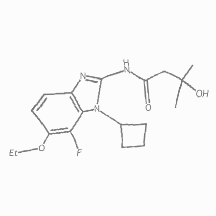 CCOc1ccc2nc(NC(=O)CC(C)(C)O)n(C3CCC3)c2c1F